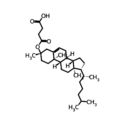 CC(C)CCC[C@@H](C)[C@H]1CC[C@H]2[C@@H]3CC=C4C[C@@](C)(OC(=O)CCC(=O)O)CC[C@]4(C)[C@H]3CC[C@]12C